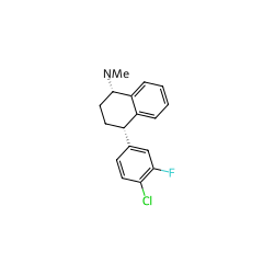 CN[C@H]1CC[C@@H](c2ccc(Cl)c(F)c2)c2ccccc21